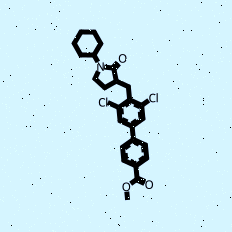 COC(=O)c1ccc(-c2cc(Cl)c(CC3CCN(C4CCCCC4)C3=O)c(Cl)c2)cc1